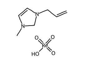 C=CCN1C=CN(C)C1.[O]=[Re](=[O])(=[O])[OH]